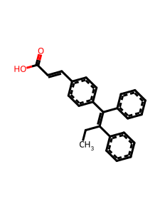 CC/C(=C(/c1ccccc1)c1ccc(/C=C/C(=O)O)cc1)c1ccccc1